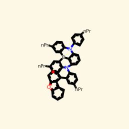 CCCc1ccc(N2c3ccc(CCC)cc3B3c4cc(CCC)ccc4N(c4ccc(CCC)cc4-c4cccc5oc6ccccc6c45)c4cccc2c43)cc1